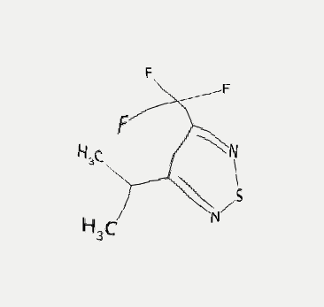 CC(C)c1nsnc1C(F)(F)F